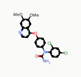 COc1cc2nccc(Oc3ccc(N(C(N)=O)c4ccc(Cl)cc4Cl)cc3)c2cc1OC